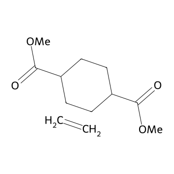 C=C.COC(=O)C1CCC(C(=O)OC)CC1